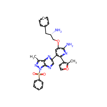 Cc1occc1-c1nc(N)c(OC[C@@H](N)Cc2ccccc2)cc1-c1cnc2c(n1)c(C)nn2S(=O)(=O)c1ccccc1